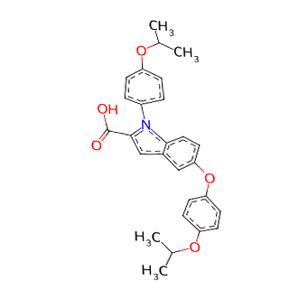 CC(C)Oc1ccc(Oc2ccc3c(c2)cc(C(=O)O)n3-c2ccc(OC(C)C)cc2)cc1